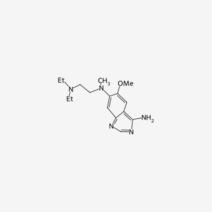 CCN(CC)CCN(C)c1cc2ncnc(N)c2cc1OC